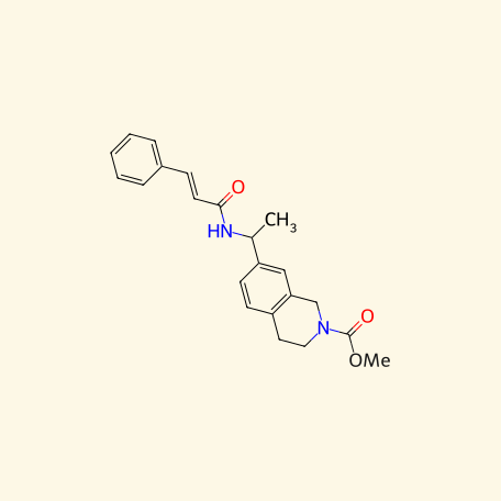 COC(=O)N1CCc2ccc(C(C)NC(=O)C=Cc3ccccc3)cc2C1